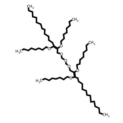 CCCCCCCCCCCCCC(OCCCCCCCC)=C(COCOCOCC(OCCCCCCCC)=C(CCCCCCCCCCCCC)OCCCCCCCC)OCCCCCCCC